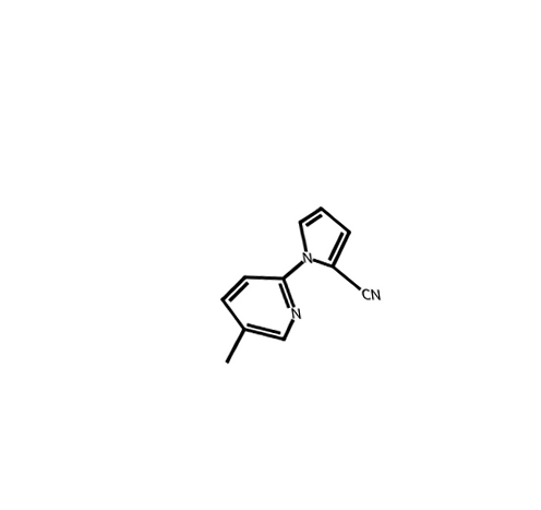 Cc1ccc(-n2cccc2C#N)nc1